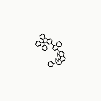 c1ccc(-c2ccc3ccc4ccc(-c5ccc(-c6ccc7c(c6)C(c6ccccc6)(c6ccccc6)c6ccccc6-7)c6ccccc56)nc4c3n2)cc1